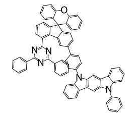 c1ccc(-c2nc(-c3ccccc3)nc(-c3cccc4c3-c3cc(-c5ccc(-n6c7ccccc7c7cc8c(cc76)c6ccccc6n8-c6ccccc6)cc5)ccc3C43c4ccccc4Oc4ccccc43)n2)cc1